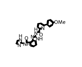 COc1ccc(-c2cccc(C(=O)Nc3nc4c(C(=O)Nc5ncc[nH]5)cccc4[nH]3)n2)cc1